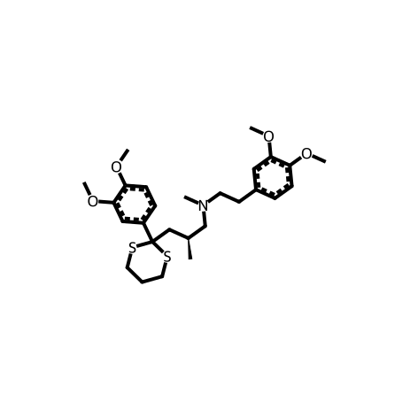 COc1ccc(CCN(C)C[C@@H](C)CC2(c3ccc(OC)c(OC)c3)SCCCS2)cc1OC